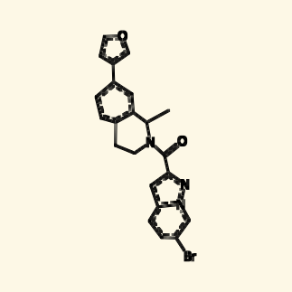 CC1c2cc(-c3ccoc3)ccc2CCN1C(=O)c1cc2ccc(Br)cn2n1